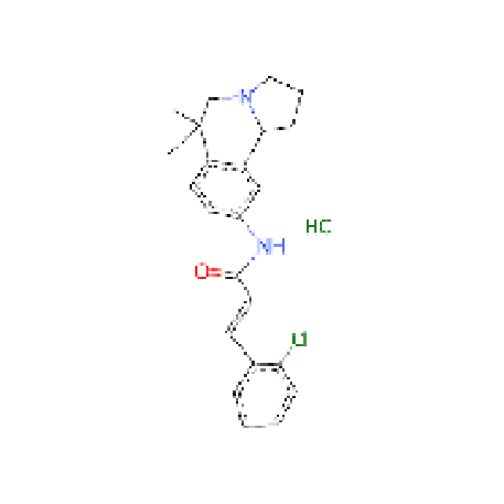 CC1(C)CN2CCCC2c2cc(NC(=O)C=Cc3ccccc3Cl)ccc21.Cl